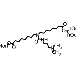 CCCCCCCCCOC(=O)CCCCCCCN(CCCCCCCC(=O)OC(CCCCCCCC)CCCCCCCC)C(=O)NCCCN(C)C